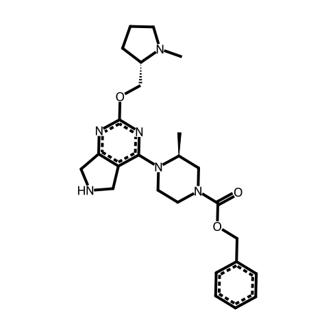 C[C@H]1CN(C(=O)OCc2ccccc2)CCN1c1nc(OC[C@@H]2CCCN2C)nc2c1CNC2